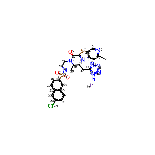 Cc1cc2c(cn1)SC(C(=O)N1CCN(S(=O)(=O)c3ccc4cc(Cl)ccc4c3)CC1CCc1nnn[nH]1)=[N+]2.[I-]